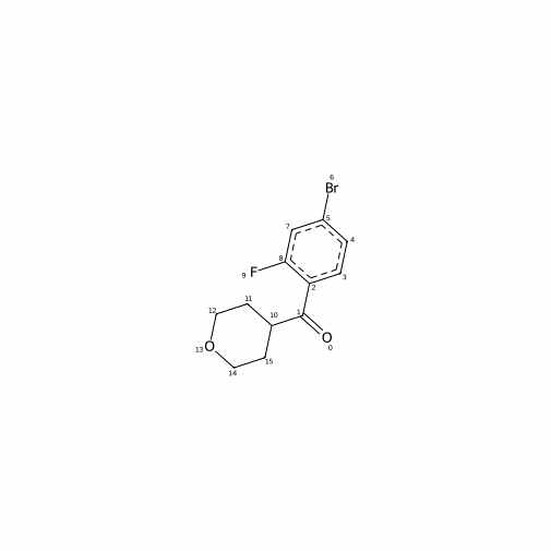 O=C(c1ccc(Br)cc1F)C1CCOCC1